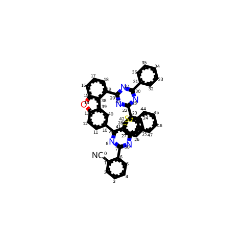 N#Cc1ccccc1-c1nc(-c2ccc3oc4cccc(-c5nc(-c6ccccc6)nc(-c6ccccc6)n5)c4c3c2)c2sc3ccccc3c2n1